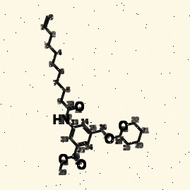 C=CCCCCCCCCC(=O)Nc1cc(COC2CCCCO2)cc(C(=O)OC)c1